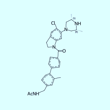 CC(=O)NCc1ccc(-c2ccc(C(=O)N3CCc4cc(Cl)c(N5C[C@@H](C)N[C@@H](C)C5)cc43)cc2)c(C)c1